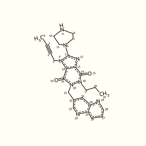 CC#CCn1c(N2CCNCC2)nc2c(=O)n(CCC)n(Cc3cnc4cccnc4c3)c(=O)c21